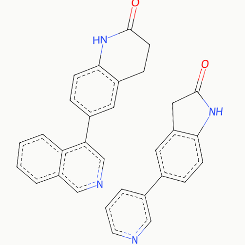 O=C1CCc2cc(-c3cncc4ccccc34)ccc2N1.O=C1Cc2cc(-c3cccnc3)ccc2N1